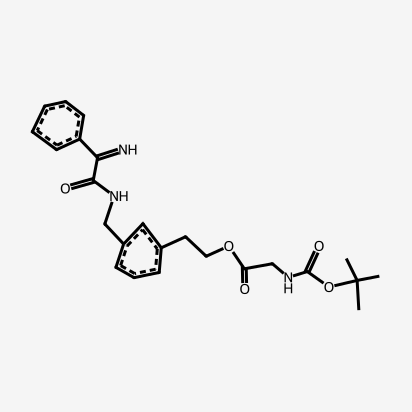 CC(C)(C)OC(=O)NCC(=O)OCCc1cccc(CNC(=O)C(=N)c2ccccc2)c1